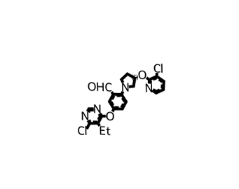 CCc1c(Cl)ncnc1Oc1ccc(N2CC[C@H](Oc3ncccc3Cl)C2)c(C=O)c1